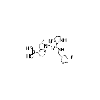 CC1Cc2c(B(O)O)cccc2N1c1nc2c(c(NCc3cccc(F)c3)n1)NCC2